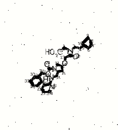 O=C(O)CN(CCc1ccccc1)C(=O)COC1CC(CNc2ccccn2)N(C(=O)OCc2ccccc2)C1